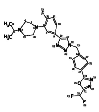 CC(C)N1CCN(c2cc(-c3cn(Cc4ccc(-c5nnc(C(F)F)o5)cc4)nn3)ccc2F)CC1